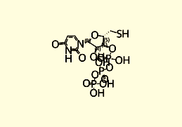 O=c1ccn([C@@H]2O[C@H](CS)[C@@H](OP(=O)(O)OP(=O)(O)OP(=O)(O)O)[C@H]2O)c(=O)[nH]1